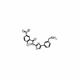 NCc1cccc(-c2csc(NC(=O)c3cc([N+](=O)[O-])ccc3Cl)n2)c1